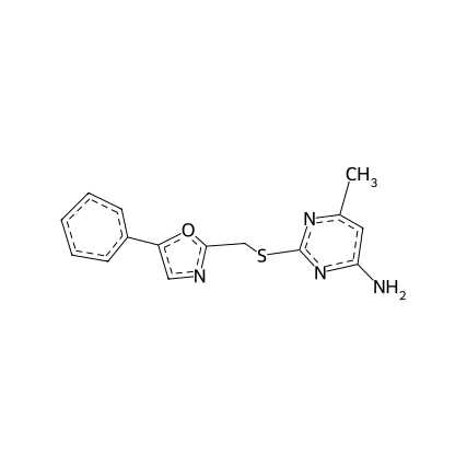 Cc1cc(N)nc(SCc2ncc(-c3ccccc3)o2)n1